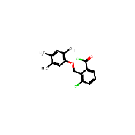 Cc1cc(C)c(OCc2c(Cl)cccc2C(=O)Cl)cc1C